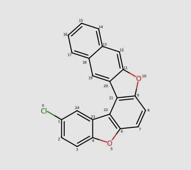 Clc1ccc2oc3ccc4oc5cc6ccccc6cc5c4c3c2c1